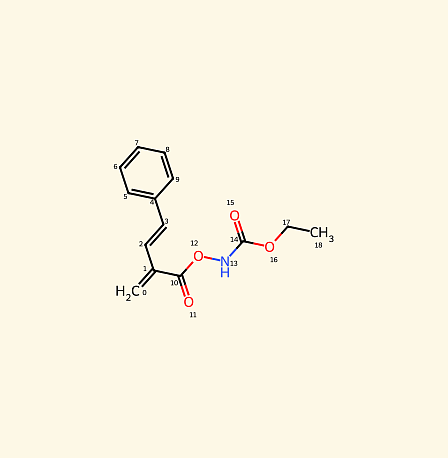 C=C(C=Cc1ccccc1)C(=O)ONC(=O)OCC